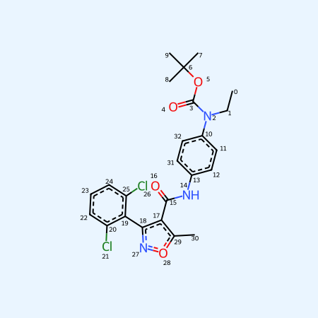 CCN(C(=O)OC(C)(C)C)c1ccc(NC(=O)c2c(-c3c(Cl)cccc3Cl)noc2C)cc1